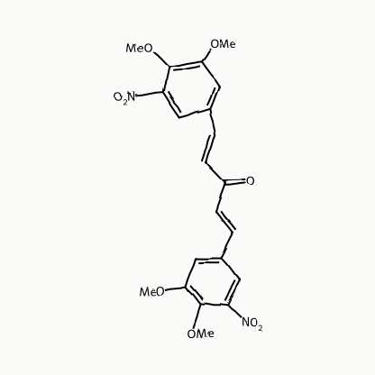 COc1cc(/C=C/C(=O)/C=C/c2cc(OC)c(OC)c([N+](=O)[O-])c2)cc([N+](=O)[O-])c1OC